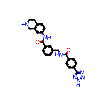 CN1CCc2ccc(NC(=O)c3cccc(CNC(=O)c4ccc(-c5nn[nH]n5)cc4)c3)cc2C1